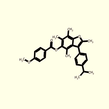 COc1ccc(C(=O)Oc2c(C)c(C)c3oc(C)c(-c4ccc(C(C)C)cc4)c3c2C)cc1